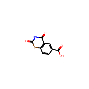 O=C(O)c1ccc2sc(=O)[nH]c(=O)c2c1